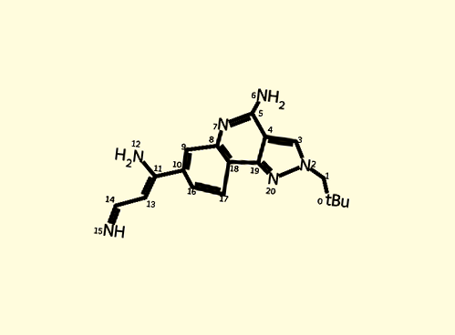 CC(C)(C)Cn1cc2c(N)nc3cc(/C(N)=C/C=N)ccc3c2n1